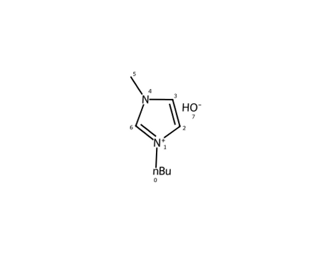 CCCC[n+]1ccn(C)c1.[OH-]